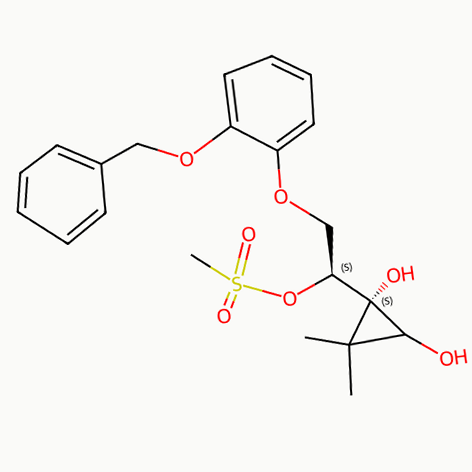 CC1(C)C(O)[C@]1(O)[C@H](COc1ccccc1OCc1ccccc1)OS(C)(=O)=O